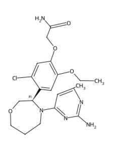 CCOc1cc([C@@H]2COCCCN2c2cc(C)nc(N)n2)c(Cl)cc1OCC(N)=O